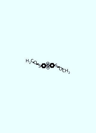 C=COCCSc1ccc(S(=O)(=O)c2ccc(SCCOC=C)cc2)cc1